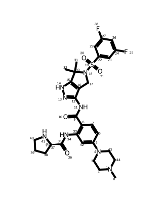 CN1CCN(c2ccc(C(=O)Nc3n[nH]c4c3CN(S(=O)(=O)c3cc(F)cc(F)c3)C4(C)C)c(NC(=O)[C@H]3CCCN3)c2)CC1